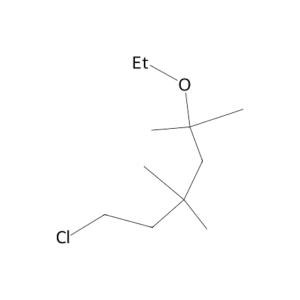 CCOC(C)(C)CC(C)(C)CCCl